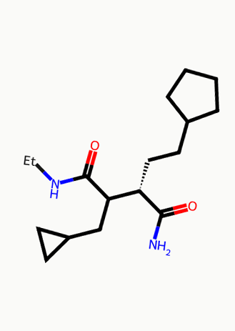 CCNC(=O)C(CC1CC1)[C@H](CCC1CCCC1)C(N)=O